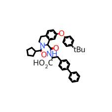 CC(C)(C)c1ccc(Oc2ccc3c(c2)C(C(=O)N[C@@H](Cc2ccc(-c4ccccc4)cc2)C(=O)O)N(C(=O)C2CCCC2)CC3)cc1